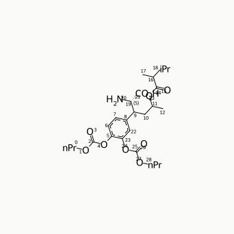 CCCOC(=O)Oc1ccc(C(CC(C)OC(=O)C(C)C(C)C)[C@H](N)C(=O)O)cc1OC(=O)OCCC